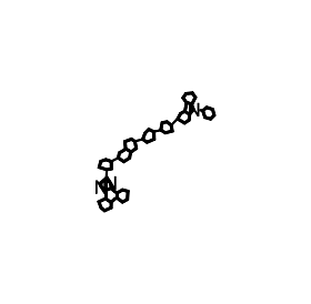 c1ccc(-n2c3ccccc3c3cc(-c4ccc(-c5ccc(-c6ccc7cc(-c8cccc(-c9cnc%10c%11ccccc%11c%11ccccc%11c%10n9)c8)ccc7c6)cc5)cc4)ccc32)cc1